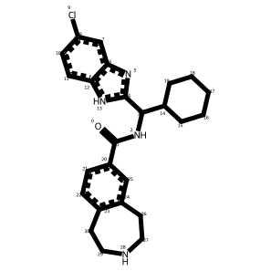 O=C(NC(c1nc2cc(Cl)ccc2[nH]1)C1CCCCC1)c1ccc2c(c1)CCNCC2